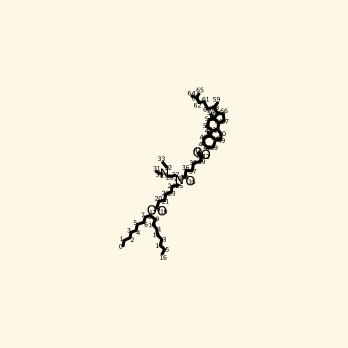 CCCCCCCCC(CCCCCCCC)OC(=O)CCCCCCN(CCN(CC)CC)C(=O)CCCCC(=O)OC1CCC2(C)C(=CCC3C2CCC2(C)C(C(C)CCCC(C)C)CCC32)C1